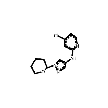 Clc1ccnc(Nc2cnn(C3CCCCO3)c2)c1